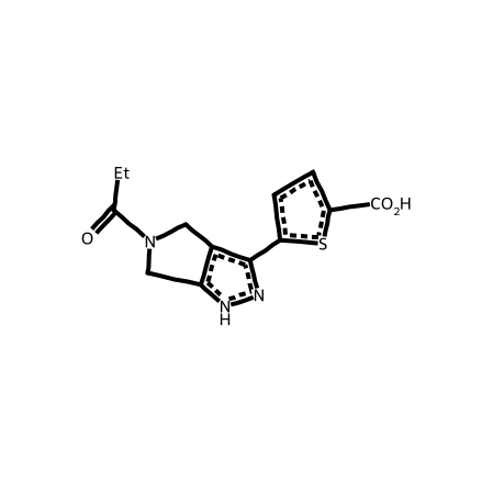 CCC(=O)N1Cc2[nH]nc(-c3ccc(C(=O)O)s3)c2C1